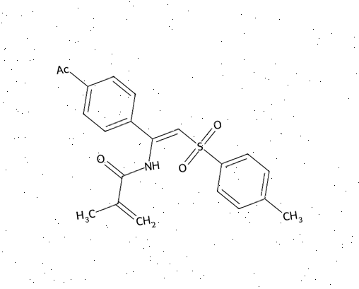 C=C(C)C(=O)N/C(=C\S(=O)(=O)c1ccc(C)cc1)c1ccc(C(C)=O)cc1